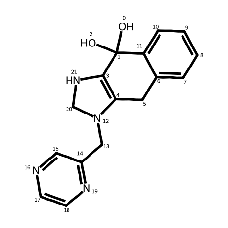 OC1(O)C2=C(Cc3ccccc31)N(Cc1cnccn1)CN2